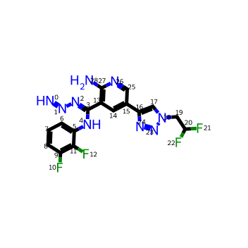 N=N/N=C(\Nc1cccc(F)c1F)c1cc(-c2cn(CC(F)F)nn2)cnc1N